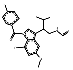 COc1cc(F)c2c(c1)c(C(CNC=O)C(C)C)cn2C(=O)c1ccc(Cl)cc1